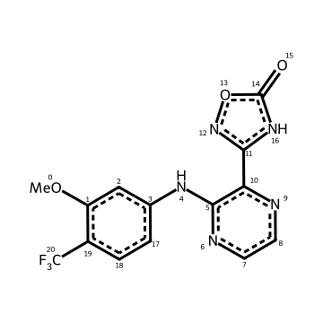 COc1cc(Nc2nccnc2-c2noc(=O)[nH]2)ccc1C(F)(F)F